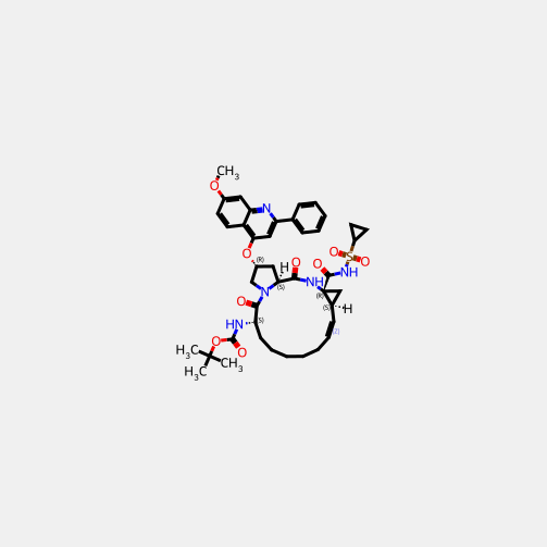 COc1ccc2c(O[C@@H]3C[C@H]4C(=O)N[C@]5(C(=O)NS(=O)(=O)C6CC6)C[C@H]5/C=C\CCCCC[C@H](NC(=O)OC(C)(C)C)C(=O)N4C3)cc(-c3ccccc3)nc2c1